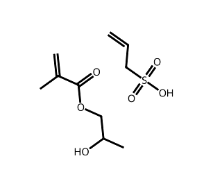 C=C(C)C(=O)OCC(C)O.C=CCS(=O)(=O)O